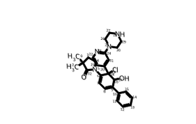 CC1(C)CCN(C2=CC=C(c3ccccc3)C(O)C2(Cl)c2ccnc(N3CCNCC3)c2)C1=O